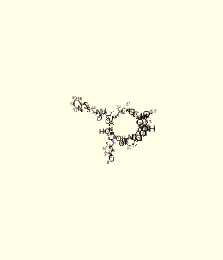 CO[C@H]1CCC[C@@H](/C=C(\C)[C@H]2OC(=O)[C@@H]3CCCCN3C(=O)C(=O)[C@]3(O)O[C@H](CC[C@@H](C)C/C(C)=C/[C@@H](CCCC(=O)NCCSSc4ccccn4)C(=O)C[C@H](O)[C@H]2C)[C@@H](OC)C[C@H]3C)C1